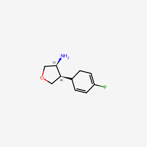 N[C@@H]1COC[C@@H]1C1C=CC(F)=CC1